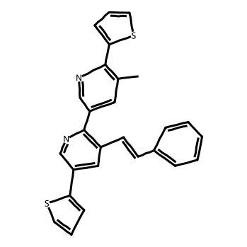 Cc1cc(-c2ncc(-c3cccs3)cc2C=Cc2ccccc2)cnc1-c1cccs1